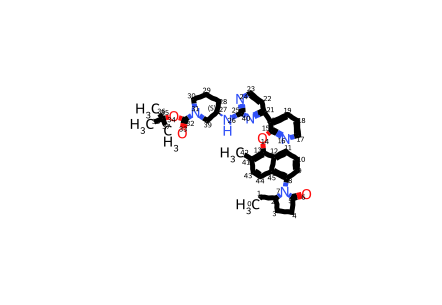 CCC1CCC(=O)N1c1cccc2c(Oc3ncccc3-c3ccnc(N[C@H]4CCCN(C(=O)OC(C)(C)C)C4)n3)c(C)ccc12